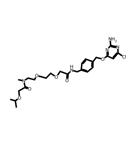 CC(C)OCC(=O)N(C)CCOCCOCC(=O)NCc1ccc(COc2cc(Cl)nc(N)n2)cc1